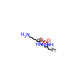 CC(C)CC(CNNC(=O)CCCCCN)NC(=O)OC(C)(C)C